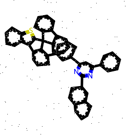 c1ccc(-c2cc(-c3cccc(-c4cccc5c4C4(c6ccccc6-c6ccccc64)c4sc6ccccc6c4-5)c3)nc(-c3ccc4ccccc4c3)n2)cc1